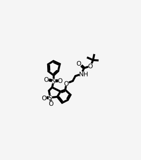 CC(C)(C)OC(=O)NCCOc1cccc2c1C(S(=O)(=O)c1ccccc1)CS2(=O)=O